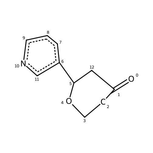 O=C1CCOC(c2cccnc2)C1